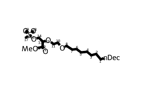 CCCCCCCCCCCCCCCCCCOCCOC(COS(C)(=O)=O)C(=O)OC